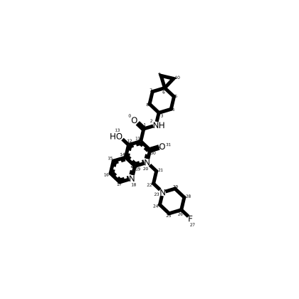 O=C(NC1CCC2(CC1)CC2)c1c(O)c2cccnc2n(CCN2CCC(F)CC2)c1=O